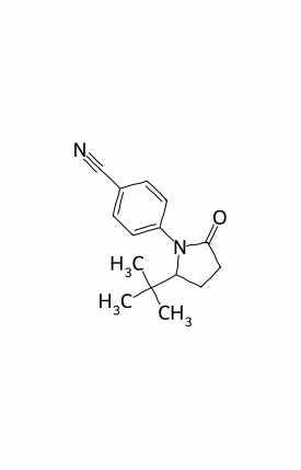 CC(C)(C)C1CCC(=O)N1c1ccc(C#N)cc1